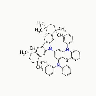 CC1(C)CCC(C)(C)c2cc3c(cc21)c1cc2c(cc1n3-c1cc3c4c(c1)N(c1ccccc1)c1ccccc1B4c1ccccc1N3c1ccccc1)C(C)(C)CCC2(C)C